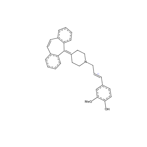 COc1cc(/C=C/CN2CCC(=C3c4ccccc4C=Cc4ccccc43)CC2)ccc1O